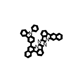 c1ccc(-n2c3ccccc3c3cc(-c4cc5ccccc5c5c6cccc7c8nc9c(nc8n(c45)c76)c4cccc5c6cc7ccccc7cc6n9c54)ccc32)cc1